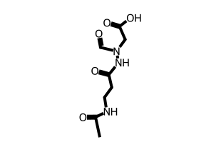 CC(=O)NCCC(=O)NN(C=O)CC(=O)O